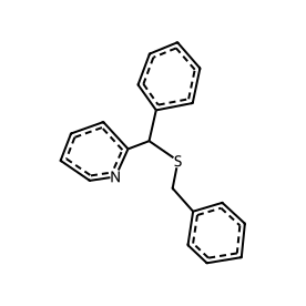 c1ccc(CSC(c2ccccc2)c2ccccn2)cc1